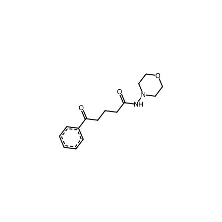 O=C(CCCC(=O)c1ccccc1)NN1CCOCC1